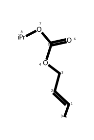 [CH2]C=CCOC(=O)OC(C)C